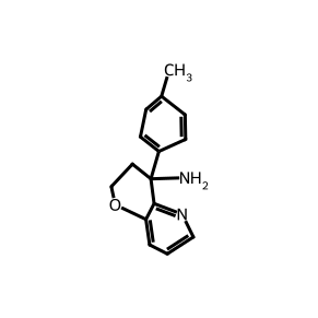 Cc1ccc(C2(N)CCOc3cccnc32)cc1